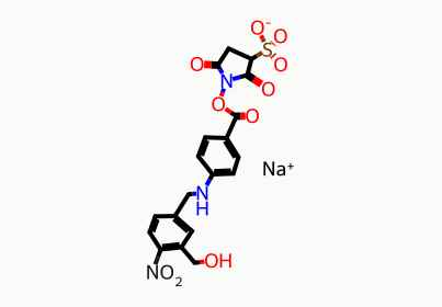 O=C(ON1C(=O)CC(S(=O)(=O)[O-])C1=O)c1ccc(NCc2ccc([N+](=O)[O-])c(CO)c2)cc1.[Na+]